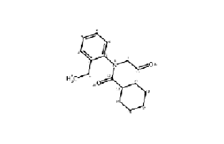 CCc1ccccc1N(CC=O)C(=O)C1CCCCC1